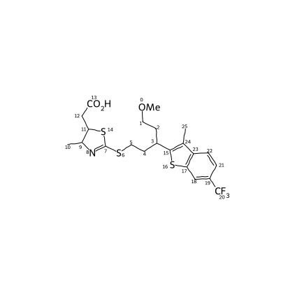 COCCC(CCSC1=NC(C)C(CC(=O)O)S1)c1sc2cc(C(F)(F)F)ccc2c1C